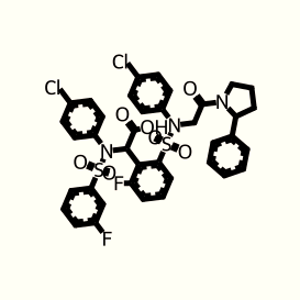 O=C(O)C(c1c(F)cccc1S(=O)(=O)N(CC(=O)N1CCCC1c1ccccc1)c1ccc(Cl)cc1)N(c1ccc(Cl)cc1)S(=O)(=O)c1cccc(F)c1